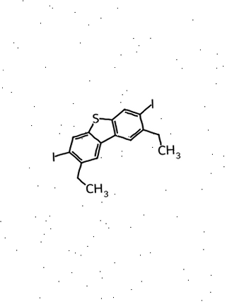 CCc1cc2c(cc1I)sc1cc(I)c(CC)cc12